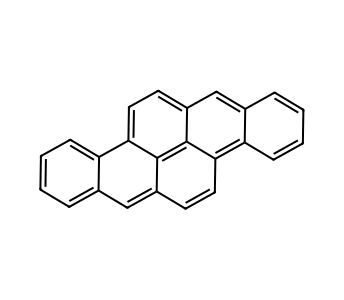 c1ccc2c(c1)cc1ccc3c4ccccc4cc4ccc2c1c43